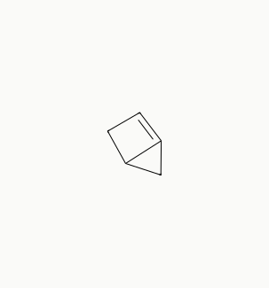 C1=C2CC2C1